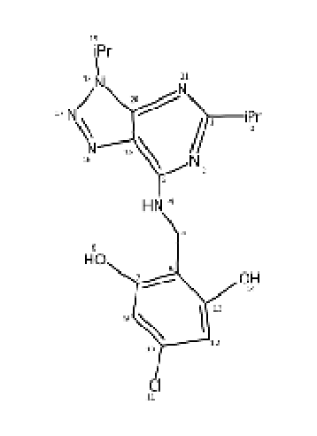 CC(C)c1nc(NCc2c(O)cc(Cl)cc2O)c2nnn(C(C)C)c2n1